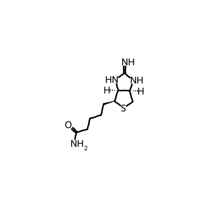 N=C1N[C@H]2[C@H](CS[C@H]2CCCCC(N)=O)N1